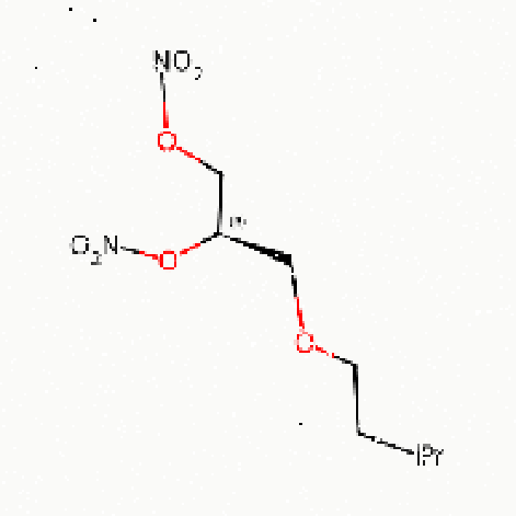 CC(C)CCOC[C@H](CO[N+](=O)[O-])O[N+](=O)[O-]